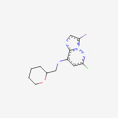 Clc1cc(NCC2CCCCO2)c2ncc(I)n2n1